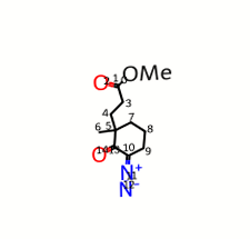 COC(=O)CCC1(C)CCCC(=[N+]=[N-])C1=O